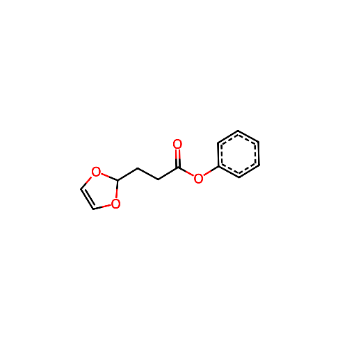 O=C(CCC1OC=CO1)Oc1ccccc1